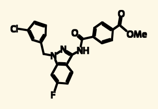 COC(=O)c1ccc(C(=O)Nc2nn(Cc3cccc(Cl)c3)c3cc(F)ccc23)cc1